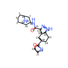 CN1C2CCCC1CC(NC(=O)c1n[nH]c3c1C=C(c1ncco1)CC3)C2